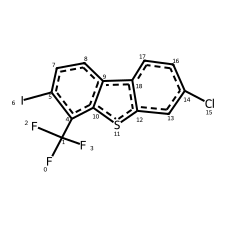 FC(F)(F)c1c(I)ccc2c1sc1cc(Cl)ccc12